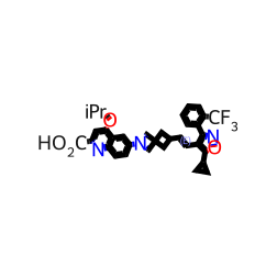 CC(C)Oc1cc(C(=O)O)nc2ccc(N3CC4(CC(/C=C/c5c(-c6ccccc6C(F)(F)F)noc5C5CC5)C4)C3)cc12